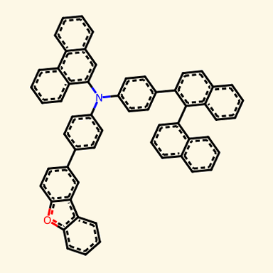 c1ccc2c(-c3c(-c4ccc(N(c5ccc(-c6ccc7oc8ccccc8c7c6)cc5)c5cc6ccccc6c6ccccc56)cc4)ccc4ccccc34)cccc2c1